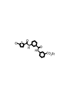 CCOC(=O)c1cccc(NC(=O)c2cccc(NC(=O)c3ccc(Cl)s3)c2)c1